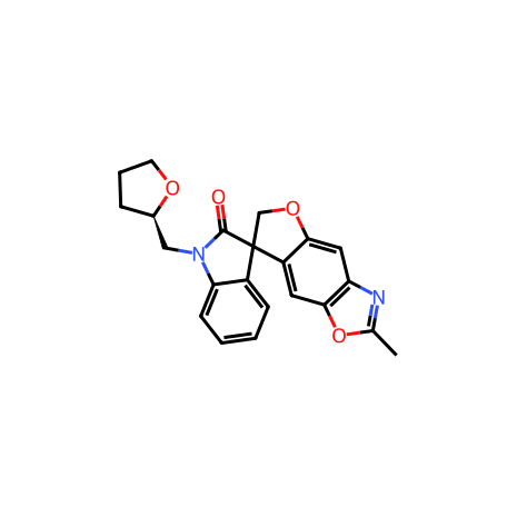 Cc1nc2cc3c(cc2o1)C1(CO3)C(=O)N(C[C@H]2CCCO2)c2ccccc21